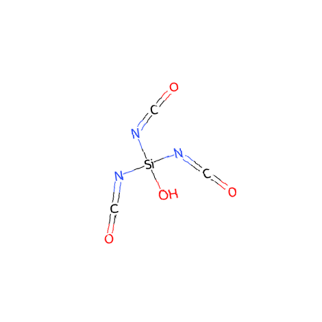 O=C=N[Si](O)(N=C=O)N=C=O